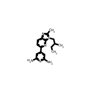 CCC(C)Cn1c(C)nc2ccc(-c3cc(N)nc(N)c3)nc21